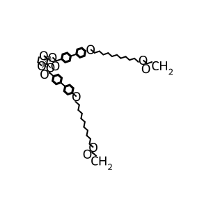 C=CC(=O)OCCCCCCCCCCCOc1ccc(-c2ccc(C(=O)O[C@H]3OCCO[C@@H]3OC(=O)c3ccc(-c4ccc(OCCCCCCCCCCCOC(=O)C=C)cc4)cc3)cc2)cc1